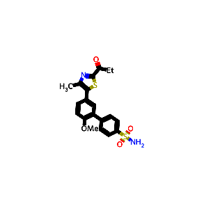 CCC(=O)c1nc(C)c(-c2ccc(OC)c(-c3ccc(S(N)(=O)=O)cc3)c2)s1